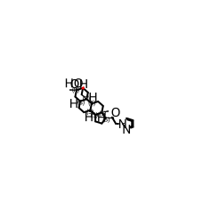 C[C@@]1(O)CC[C@@]2(CCO)[C@@H](CC[C@H]3[C@@H]4CC[C@H](C(=O)Cn5cccn5)[C@@]4(C)CC[C@@H]32)C1